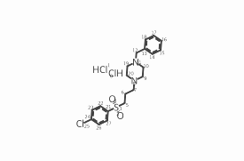 Cl.Cl.O=S(=O)(CCCN1CCN(Cc2ccccc2)CC1)c1ccc(Cl)cc1